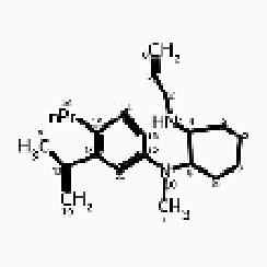 C=CCNC1CCCCC1N(C)c1ccc(CCC)c(C(=C)C)c1